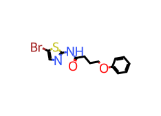 O=C(CCCOc1ccccc1)Nc1ncc(Br)s1